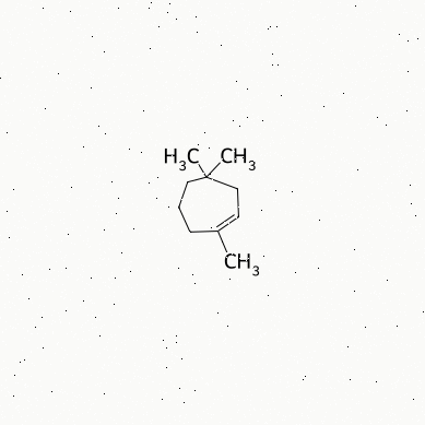 CC1=CCC(C)(C)CCC1